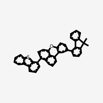 CC1(C)c2ccccc2-c2c(-c3ccc4c(c3)-c3cccc5c(-c6cccc7c6sc6ccccc67)ccc(c35)O4)cccc21